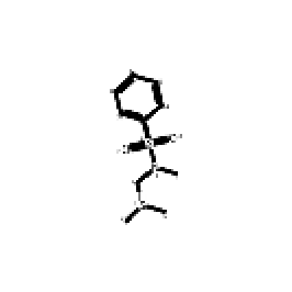 CN(C[SH](C)C)S(=O)(=O)c1ccccc1